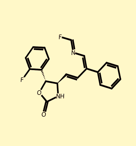 O=C1N[C@H](/C=C/C(=C\N=C\F)c2ccccc2)[C@@H](c2ccccc2F)O1